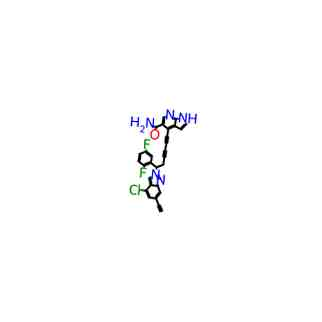 C#Cc1cc(Cl)c2cn(C(CC#CC#Cc3c(C(N)=O)cnc4[nH]ccc34)c3cc(F)ccc3F)nc2c1